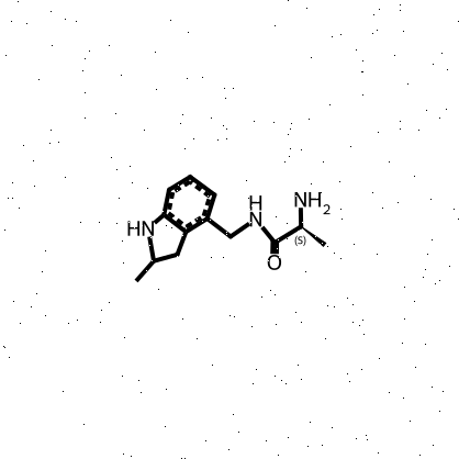 CC1Cc2c(CNC(=O)[C@H](C)N)cccc2N1